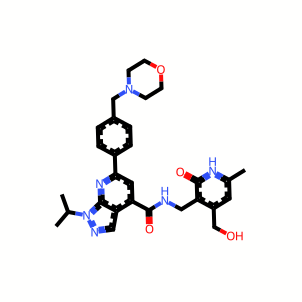 Cc1cc(CO)c(CNC(=O)c2cc(-c3ccc(CN4CCOCC4)cc3)nc3c2cnn3C(C)C)c(=O)[nH]1